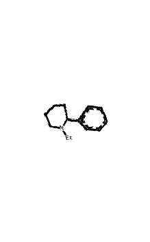 CCN1CCCCC1c1ccccc1